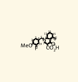 COc1ccc(Cn2cc(C(=O)O)c(=O)c3c(F)cccc32)cc1F